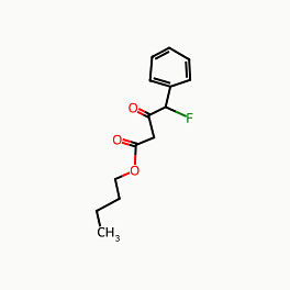 CCCCOC(=O)CC(=O)C(F)c1ccccc1